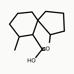 CC1CCCC2(CCCC2C)C1C(=O)O